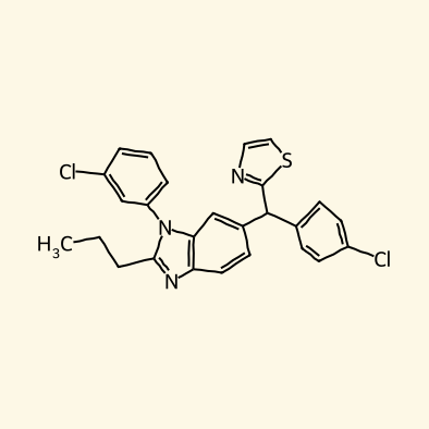 CCCc1nc2ccc(C(c3ccc(Cl)cc3)c3nccs3)cc2n1-c1cccc(Cl)c1